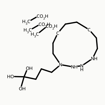 CC(=O)O.CC(=O)O.CC(=O)O.OC(O)(O)CCCN1CCCCCCCCNNN1